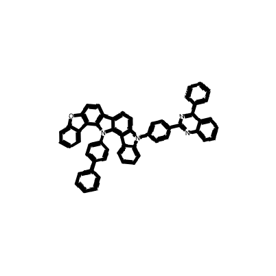 c1ccc(-c2ccc(-n3c4c(ccc5oc6ccccc6c54)c4ccc5c(c6ccccc6n5-c5ccc(-c6nc(-c7ccccc7)c7ccccc7n6)cc5)c43)cc2)cc1